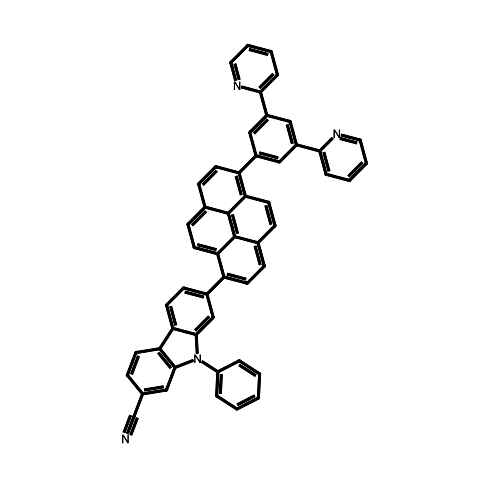 N#Cc1ccc2c3ccc(-c4ccc5ccc6c(-c7cc(-c8ccccn8)cc(-c8ccccn8)c7)ccc7ccc4c5c76)cc3n(-c3ccccc3)c2c1